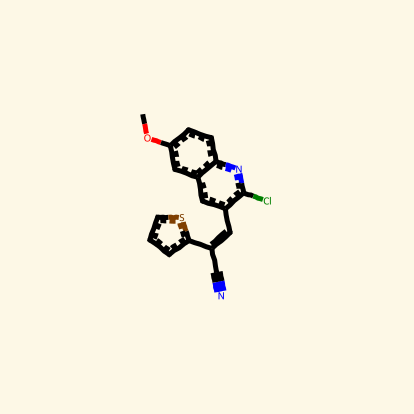 COc1ccc2nc(Cl)c(C=C(C#N)c3cccs3)cc2c1